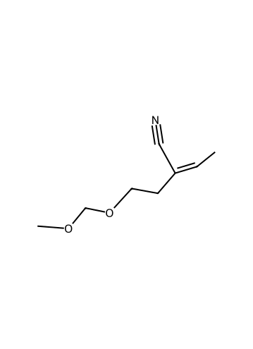 CC=C(C#N)CCOCOC